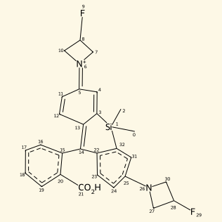 C[Si]1(C)C2=CC(=[N+]3CC(F)C3)C=CC2=C(c2ccccc2C(=O)O)c2ccc(N3CC(F)C3)cc21